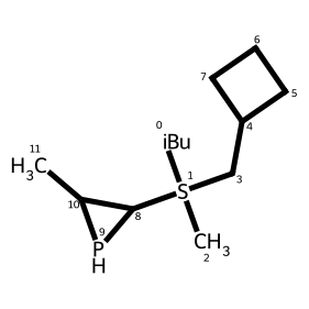 CCC(C)S(C)(CC1CCC1)C1PC1C